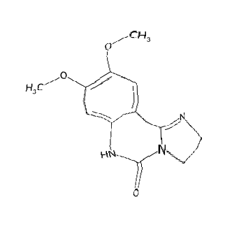 COc1cc2c(cc1OC)C1=NCCN1C(=O)N2